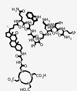 CN/C(=C\N)C[C@H](NC(=O)CNC(=O)C(NC(=O)C(C)NC(=O)[C@H](Cc1c[nH]c2ccccc12)NC(=O)C(CCC(N)=O)NC(=O)CC[C@@H](C)C1CCC2C3CCC4CC(NC(=O)CNC(=O)CN5CCN(CC(=O)O)CCN(CC(=O)O)CCN(CC(=O)O)CC5)CCC4(C)C3CC(=O)C21C)C(C)C)C(=O)NC(CC(C)C)C(=O)N[C@@H](CCSC)C(N)=O